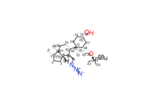 C[C@H]1CC[C@H]2[C@H](CN=[N+]=[N-])[C@@H]([C@@]3(C)CC[C@H](O)C[C@@H]3CO[Si](C)(C)C(C)(C)C)CC[C@]12C